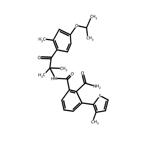 Cc1cc(OC(C)C)ccc1C(=O)C(C)(C)NC(=O)c1cccc(-c2sccc2C)c1C(N)=O